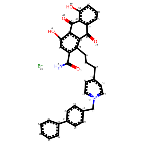 NC(=O)c1cc(O)c2c(c1CCCc1cc[n+](Cc3ccc(-c4ccccc4)cc3)cc1)C(=O)c1cccc(O)c1C2=O.[Br-]